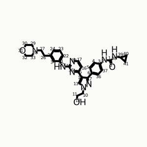 O=C(Nc1ccc(-c2nn(CCO)cc2-c2ccnc(Nc3cccc(CCN4CCOCC4)c3)n2)cc1)NC1CC1